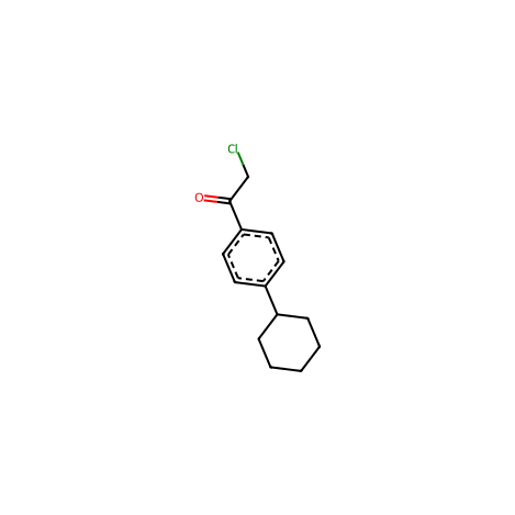 O=C(CCl)c1ccc(C2CCCCC2)cc1